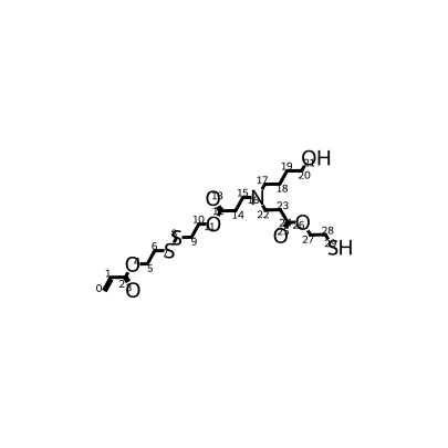 C=CC(=O)OCCSSCCOC(=O)CCN(CCCCO)CCC(=O)OCCS